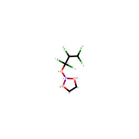 FC(F)C(F)C(F)(F)OP1OCCO1